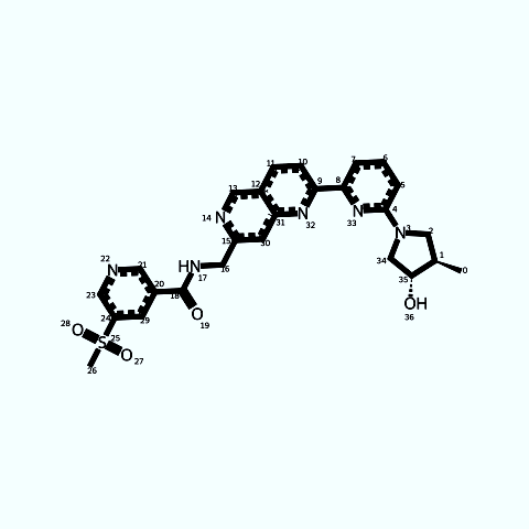 C[C@@H]1CN(c2cccc(-c3ccc4cnc(CNC(=O)c5cncc(S(C)(=O)=O)c5)cc4n3)n2)C[C@H]1O